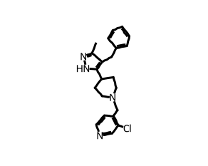 Cc1n[nH]c(C2CCN(Cc3ccncc3Cl)CC2)c1Cc1ccccc1